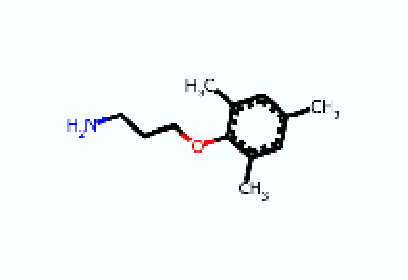 Cc1cc(C)c(OCCCN)c(C)c1